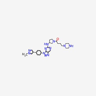 Cn1cc(-c2ccc(-n3nnc4cnc(NC5CCN(C(=O)CCCN6CCNCC6)C5)nc43)cc2)cn1